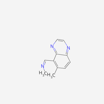 C/N=C\c1c(C)ccc2nccnc12